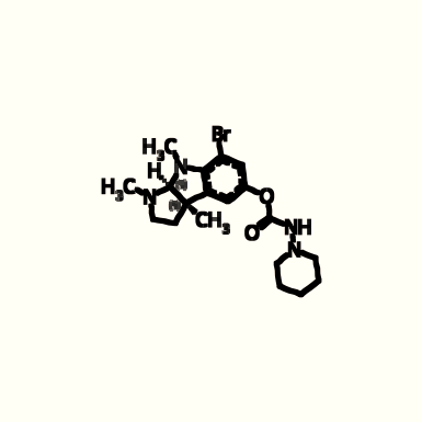 CN1CC[C@@]2(C)c3cc(OC(=O)NN4CCCCC4)cc(Br)c3N(C)[C@H]12